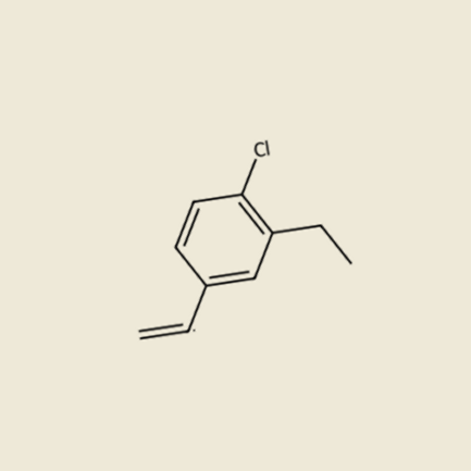 C=[C]c1ccc(Cl)c(CC)c1